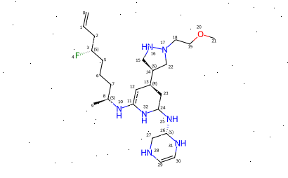 C=CC[C@@H](F)CCC[C@H](C)NC1=C[C@@H]([C@H]2CNN(CCOC)C2)CC(N[C@H]2CNC=CN2)N1